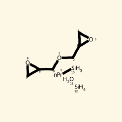 C(OCC1CO1)C1CO1.CCC[SiH3].O.[SiH4]